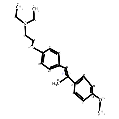 CCN(CC)CCOc1ccc(/C=C(\C)c2ccc(OC)cc2)cc1